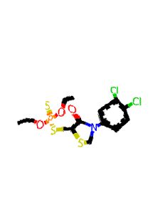 CCOP(=S)(OCC)SC1SCN(c2ccc(Cl)c(Cl)c2)C1=O